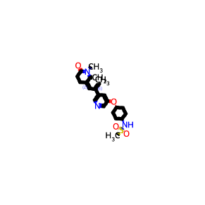 C=C1/C(=C\C(=C/C)c2cncc(O[C@H]3CC[C@H](NS(C)(=O)=O)CC3)c2)CCC(=O)N1C